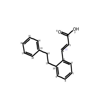 O=C(O)/C=C/c1ccccc1CCc1ccccc1